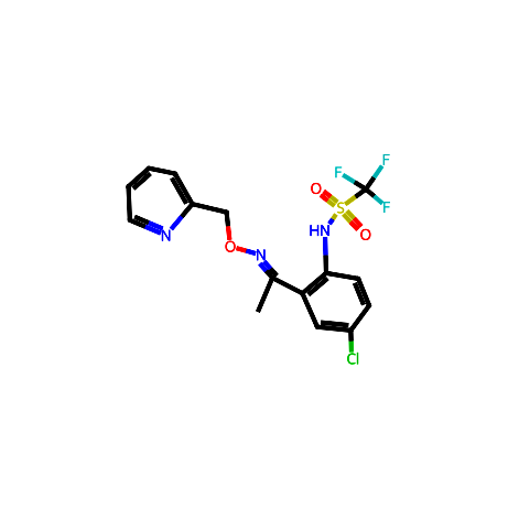 C/C(=N\OCc1ccccn1)c1cc(Cl)ccc1NS(=O)(=O)C(F)(F)F